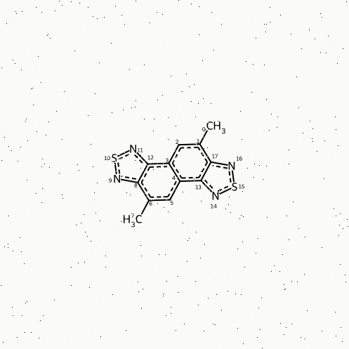 Cc1cc2c(cc(C)c3nsnc32)c2nsnc12